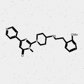 COc1ccccc1CCNC1CCN(c2nc(-c3ccncc3)cc(=O)n2C)CC1